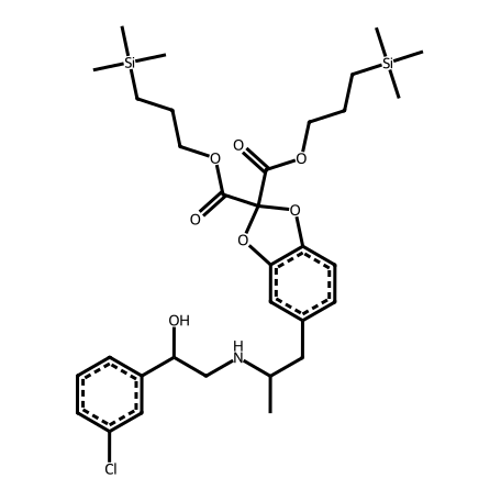 CC(Cc1ccc2c(c1)OC(C(=O)OCCC[Si](C)(C)C)(C(=O)OCCC[Si](C)(C)C)O2)NCC(O)c1cccc(Cl)c1